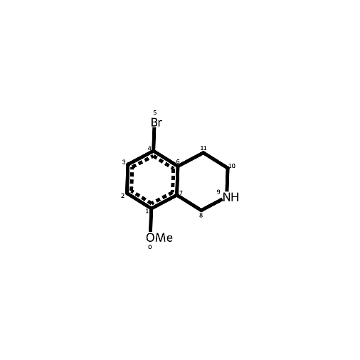 COc1ccc(Br)c2c1CNCC2